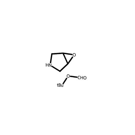 C1NCC2OC12.CC(C)(C)OC=O